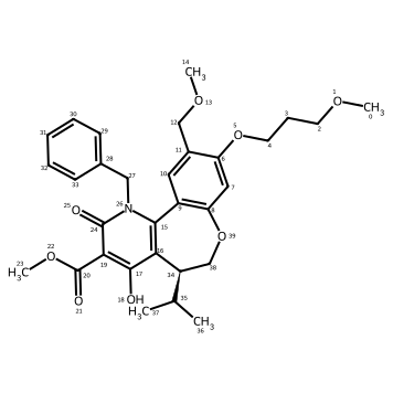 COCCCOc1cc2c(cc1COC)-c1c(c(O)c(C(=O)OC)c(=O)n1Cc1ccccc1)[C@H](C(C)C)CO2